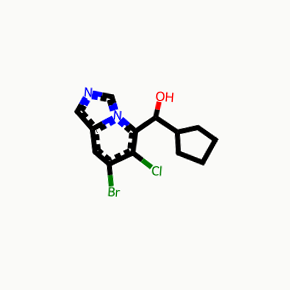 OC(c1c(Cl)c(Br)cc2cncn12)C1CCCC1